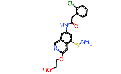 NSc1cc(NC(=O)Cc2ccccc2Cl)cc2cnc(OCCO)cc12